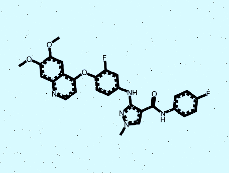 COc1cc2nccc(Oc3ccc(Nc4nn(C)cc4C(=O)Nc4ccc(F)cc4)cc3F)c2cc1OC